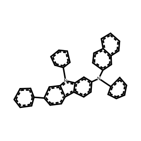 c1ccc(-c2ccc3c4ccc(N(c5ccccc5)c5ccc6ccccc6c5)cc4n(-c4ccccc4)c3c2)cc1